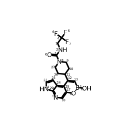 O=C(NCC(F)(F)F)N1CCC(C2=CB(O)Oc3cnc4[nH]ccc4c32)CC1